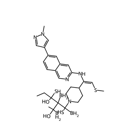 BC(C)(O)C(B)(C(O)(S)CC)C(B)(S)N1CCC(/C(=C\SC)Nc2cc3cc(-c4cnn(C)c4)ccc3cn2)CC1